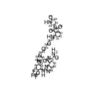 Cn1nc(C(N)=O)c2c1-c1nc(Nc3cc(N4CCN(CCOCCOCCNc5cccc6c5C(=O)N(C5CCC(=O)NC5)C6=O)CC4)ccc3OC(F)(F)F)ncc1CC2